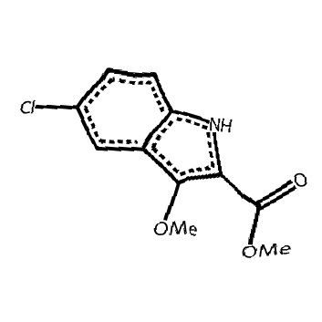 COC(=O)c1[nH]c2ccc(Cl)cc2c1OC